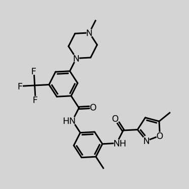 Cc1cc(C(=O)Nc2cc(NC(=O)c3cc(N4CCN(C)CC4)cc(C(F)(F)F)c3)ccc2C)no1